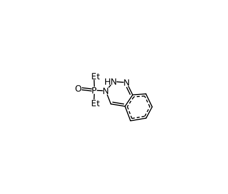 CCP(=O)(CC)N1C=c2ccccc2=NN1